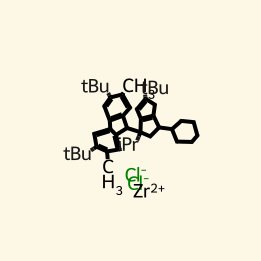 Cc1cc2c(cc1C(C)(C)C)-c1cc(C(C)(C)C)c(C)cc1C2C1(C(C)C)CC(C2CCCCC2)C2=C1C=C(C(C)(C)C)C2.[Cl-].[Cl-].[Zr+2]